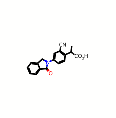 CC(C(=O)O)c1ccc(N2Cc3ccccc3C2=O)cc1C#N